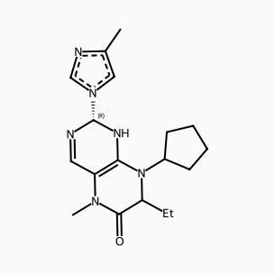 CCC1C(=O)N(C)C2=C(N[C@@H](n3cnc(C)c3)N=C2)N1C1CCCC1